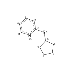 c1ccc(SC2CCCC2)nc1